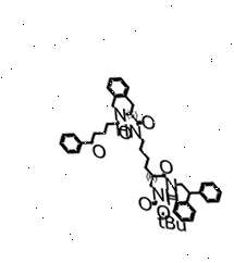 CC(C)(C)OC(=O)NC[C@@H](CCCCNC(=O)[C@@H]1Cc2ccccc2CN1C(=O)CCCC(=O)c1ccccc1)C(=O)NCC(c1ccccc1)c1ccccc1